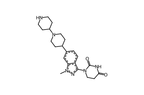 Cn1nc(N2CCC(=O)NC2=O)c2ccc(C3CCN(C4CCNCC4)CC3)cc21